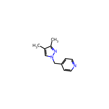 Cc1cn(Cc2ccncc2)nc1C